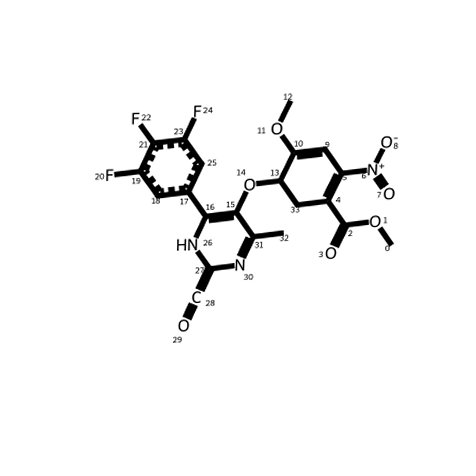 COC(=O)C1=C([N+](=O)[O-])C=C(OC)C(OC2=C(c3cc(F)c(F)c(F)c3)NC(=C=O)N=C2C)C1